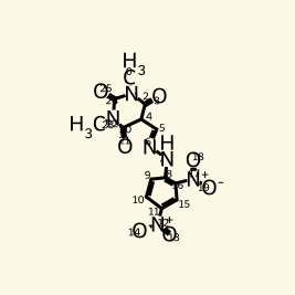 CN1C(=O)C(/C=N/Nc2ccc([N+](=O)[O-])cc2[N+](=O)[O-])C(=O)N(C)C1=O